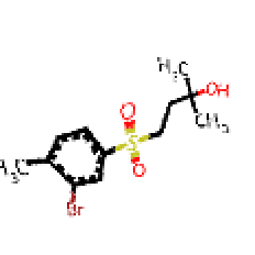 Cc1ccc(S(=O)(=O)CCC(C)(C)O)cc1Br